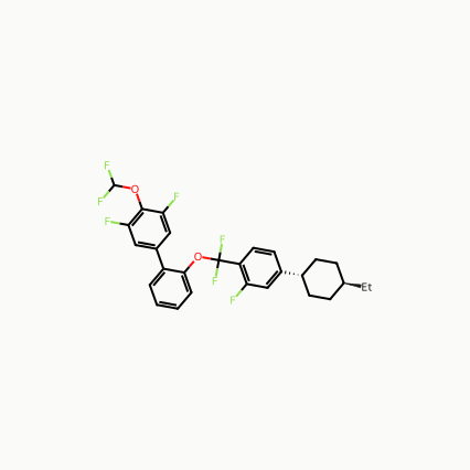 CC[C@H]1CC[C@H](c2ccc(C(F)(F)Oc3ccccc3-c3cc(F)c(OC(F)F)c(F)c3)c(F)c2)CC1